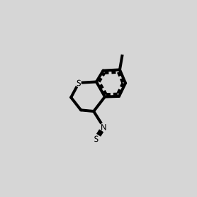 Cc1ccc2c(c1)SCCC2N=S